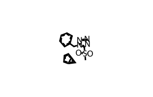 CS(=O)(=O)c1nnnn1Cc1ccccc1.c1cc2cc-2c1